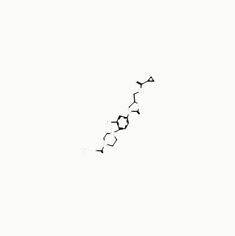 COC(=O)N1CCN(c2ccc(N3CC(CNC(=S)C4CC4)OC3=O)cc2F)CC1